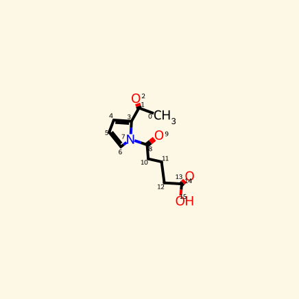 CC(=O)c1cccn1C(=O)CCCC(=O)O